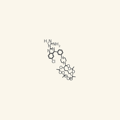 CC(=O)O[C@@H]([C@H](OC(C)=O)[C@@H](OC(C)=O)C(=O)N1CCN(c2cccc(-c3nc(N=C(N)N)nc4ccc(Cl)cc34)c2)CC1)[C@@H](CO)OC(C)=O